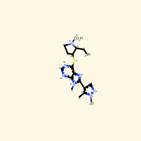 CCn1ncc(-c2nc3c(SC4CCN(C(=O)O)C4CC(C)C)ncnc3n2C)c1C